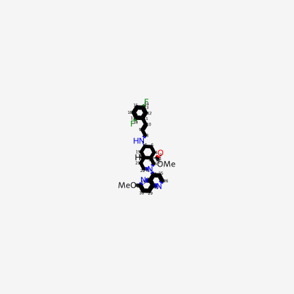 COC(=O)[C@@]12CC[C@@H](NCC=Cc3cc(F)ccc3F)C[C@H]1CCN(c1ccnc3ccc(OC)nc13)C2